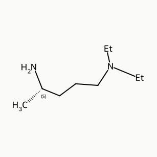 CCN(CC)CCC[C@H](C)N